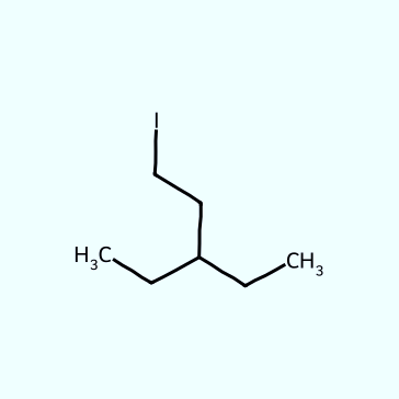 CCC(CC)CCI